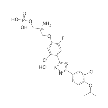 CC(C)Oc1ccc(-c2nnc(-c3cc(F)c(OC[C@@H](N)COP(=O)(O)O)cc3Cl)s2)cc1Cl.Cl